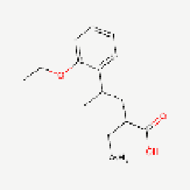 CCOc1ccccc1C(C)CC(C[AsH2])C(=O)O